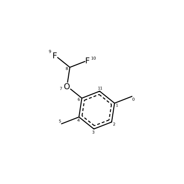 Cc1ccc(C)c(OC(F)F)c1